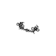 CCN1CC(=O)N(CC(C)(C)CCCCOCCCCC(C)(C)CN2C(=O)CN(C)C2=O)C1=O